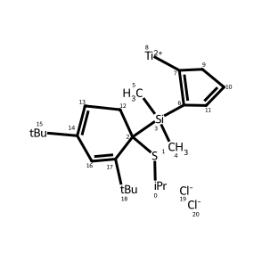 CC(C)SC1([Si](C)(C)C2=[C]([Ti+2])CC=C2)CC=C(C(C)(C)C)C=C1C(C)(C)C.[Cl-].[Cl-]